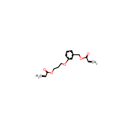 C=CC(=O)OCCCOc1cccc(COC(=O)C=C)c1